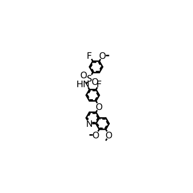 COc1ccc(S(=O)(=O)Nc2ccc(Oc3ccnc4c(OC)c(OC)ccc34)cc2F)cc1F